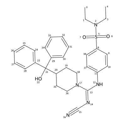 CCN(CC)S(=O)(=O)c1ccc(N/C(=N/C#N)N2CCC(C(O)(c3ccccc3)c3ccccc3)CC2)cc1